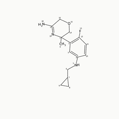 CC1(c2cc(NCC3CC3)ccc2F)COCC(N)=N1